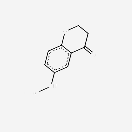 CCCCCNc1ccc2c(c1)C(=O)CCO2